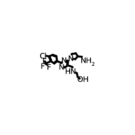 NCC1CCN(c2nc(-c3ccc(Cl)c(C(F)(F)F)c3)ncc2CNCCO)C1